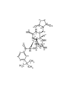 CC(C)(C)c1cccc(C(=O)N[C@H]2CN3C(=N)N[C@@H](CN4C(=O)CCC4=O)[C@@H]4NC(=N)NC43C2(O)O)c1